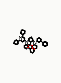 c1ccc(-c2cccc(N(c3ccccc3)c3cccc(N(c4ccccc4)c4cc(-c5ccccc5)nc(-c5ccccc5)c4)c3-c3ccc4ccccc4c3)c2)cc1